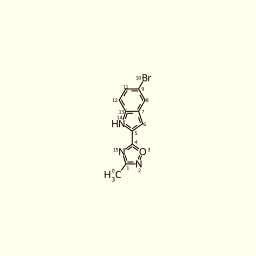 Cc1noc(-c2cc3cc(Br)ccc3[nH]2)n1